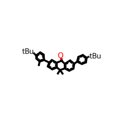 Cc1cc(C(C)(C)C)ccc1-c1ccc2c(c1)C(=O)c1cc(-c3ccc(C(C)(C)C)cc3)ccc1C2(C)C